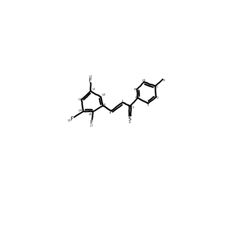 Cc1ccc(C(=S)C=Cc2cc(F)cc(F)c2F)cc1